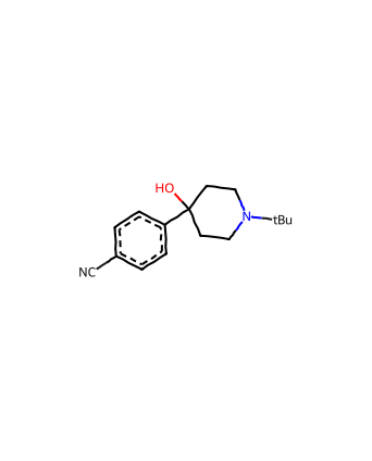 CC(C)(C)N1CCC(O)(c2ccc(C#N)cc2)CC1